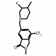 CC1CCN(Cc2cc3c(c(C(F)(F)F)c2)CN(C)C3=O)CC1F